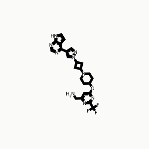 NCc1cc(OC2CCN(C3C[C](n4cc(-c5ncnc6[nH]ccc56)cn4)C3)CC2)nc(C(F)(F)F)n1